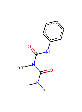 CCCN(C(=O)Nc1ccccc1)C(=O)N(C)C